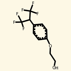 OCCOc1ccc(C(C(F)(F)F)C(F)(F)F)cc1